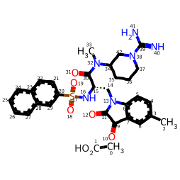 CC(=O)O.Cc1ccc2c(c1)C(=O)C(=O)N2C[C@H](NS(=O)(=O)c1ccc2ccccc2c1)C(=O)N(C)C1CCCN(C(=N)N)C1